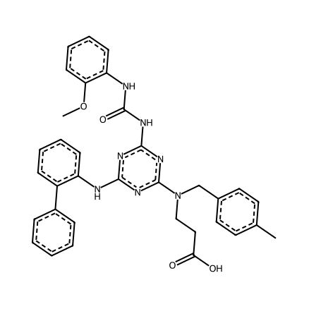 COc1ccccc1NC(=O)Nc1nc(Nc2ccccc2-c2ccccc2)nc(N(CCC(=O)O)Cc2ccc(C)cc2)n1